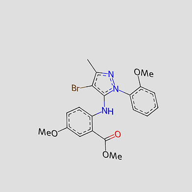 COC(=O)c1cc(OC)ccc1Nc1c(Br)c(C)nn1-c1ccccc1OC